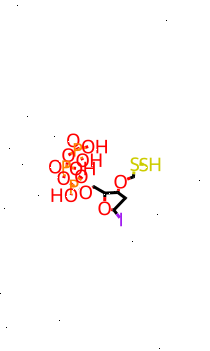 O=P(O)(O)OP(=O)(O)OP(=O)(O)OCC1OC(I)CC1OCSS